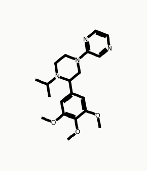 COc1cc(C2CN(c3cnccn3)CCN2C(C)C)cc(OC)c1OC